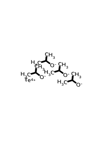 CC(C)[O-].CC(C)[O-].CC(C)[O-].CC(C)[O-].[Te+4]